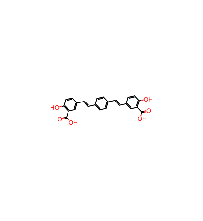 O=C(O)c1cc(C=Cc2ccc(/C=C/c3ccc(O)c(C(=O)O)c3)cc2)ccc1O